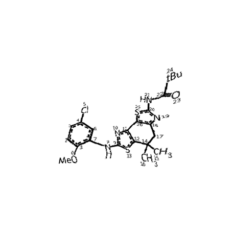 COc1ccc(Cl)cc1Nc1nc2c(s1)C(C)(C)Cc1nc(NC(=O)C(C)(C)C)sc1-2